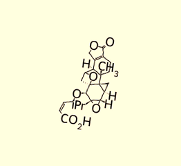 CC(C)[C@]12O[C@H]1[C@@H]1C[C@@]13[C@@]1(C)CCC4=C(COC4=O)[C@@H]1C1C[C@@]3(O1)[C@@H]2OC/C=C\C(=O)O